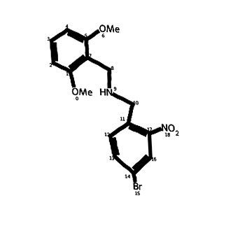 COc1cccc(OC)c1CNCc1ccc(Br)cc1[N+](=O)[O-]